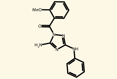 COc1ccccc1C(=O)n1nc(Nc2ccccc2)nc1N